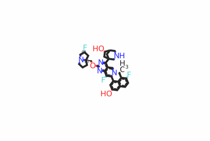 CCc1c(F)ccc2cc(O)cc(-c3ncc4c(C56CNCC(C5)C(O)C6)nc(OC[C@@]56CCCN5C[C@H](F)C6)nc4c3F)c12